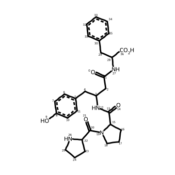 O=C(CC(Cc1ccc(O)cc1)NC(=O)C1CCCN1C(=O)C1CCCN1)NC(Cc1ccccc1)C(=O)O